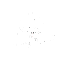 CC(=O)NC1C(O)[C@H](O[C@@H]2OC(CO[C@]3(OC=O)C[C@@H](O)[C@@H](C)C([C@H](O)C(O)CO)O3)[C@H](O)[C@H](O)C2O)[C@H](CO)O[C@H]1OC1[C@@H](OCC2O[C@@H](O[C@@H]3C(CO)O[C@@H](O[C@@H]4C(CO)O[C@@H](O)C(NC(C)=O)[C@H]4O)C(NC(C)=O)[C@H]3O)C(O)[C@@H](O[C@H]3OC(CO)[C@@H](O)C(O)C3O[C@@H]3OC(CO)[C@@H](O[C@@H]4OC(CO[C@]5(OC=O)C[C@@H](O)[C@@H](C)[C@@](O)(C(O)CO)O5)[C@H](O)[C@H](O)C4O)[C@H](O)C3NC(C)=O)[C@@H]2O)OC(CO)[C@@H](O)[C@@H]1O